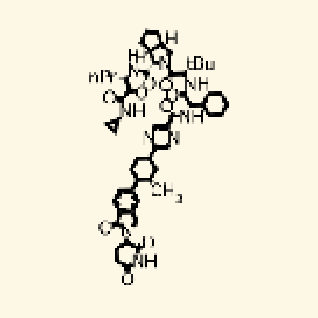 CCC[C@H](NC(=O)[C@@H]1[C@H]2CCC[C@H]2CN1C(=O)[C@@H](NC(=O)[C@@H](NC(=O)c1cnc(C2CCC(c3ccc4c(c3)CN(C3CCC(=O)NC3=O)C4=O)C(C)C2)cn1)C1CCCCC1)C(C)(C)C)C(=O)C(=O)NC1CC1